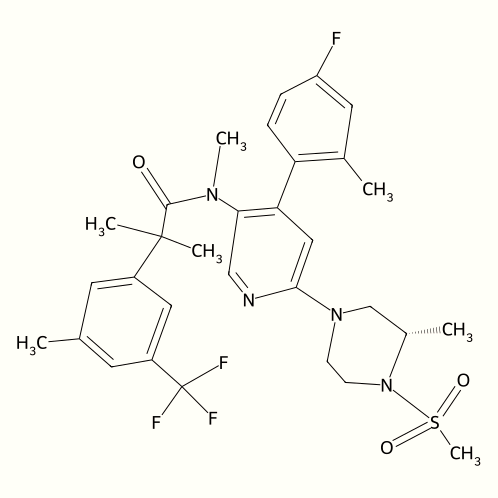 Cc1cc(C(F)(F)F)cc(C(C)(C)C(=O)N(C)c2cnc(N3CCN(S(C)(=O)=O)[C@@H](C)C3)cc2-c2ccc(F)cc2C)c1